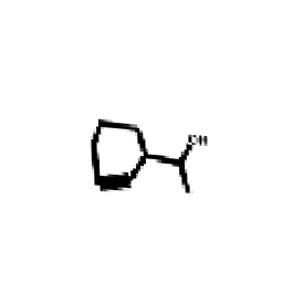 CC(O)C1C#CCCC1